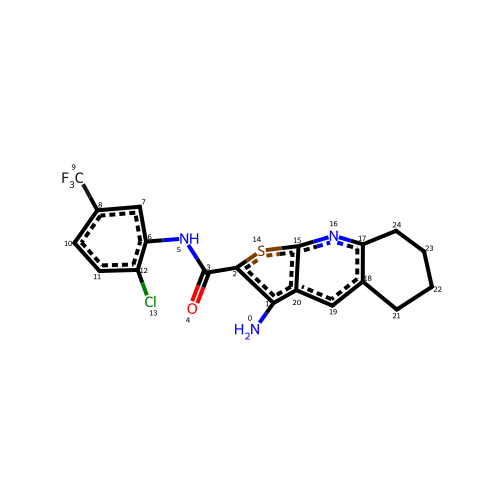 Nc1c(C(=O)Nc2cc(C(F)(F)F)ccc2Cl)sc2nc3c(cc12)CCCC3